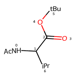 CC(=O)NC(C(=O)OC(C)(C)C)C(C)C